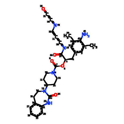 Cc1cc(C[C@@H](OC(=O)N2CCC(N3CCc4ccccc4NC3=O)CC2)C(=O)N=C=C=CN=C=C=O)cc(C)c1N